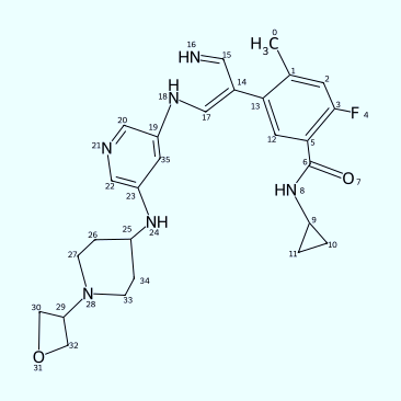 Cc1cc(F)c(C(=O)NC2CC2)cc1/C(C=N)=C/Nc1cncc(NC2CCN(C3COC3)CC2)c1